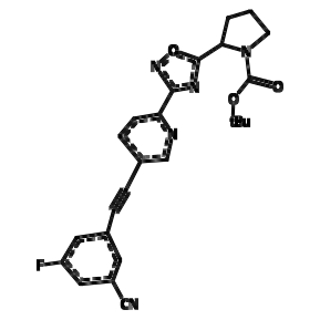 CC(C)(C)OC(=O)N1CCCC1c1nc(-c2ccc(C#Cc3cc(F)cc(C#N)c3)cn2)no1